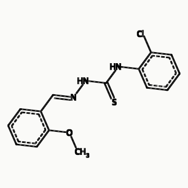 COc1ccccc1/C=N/NC(=S)Nc1ccccc1Cl